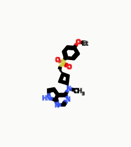 CCOc1ccc(S(=O)(=O)C[C@H]2C[C@@H](N(C)c3ncnc4[nH]ccc34)C2)cc1